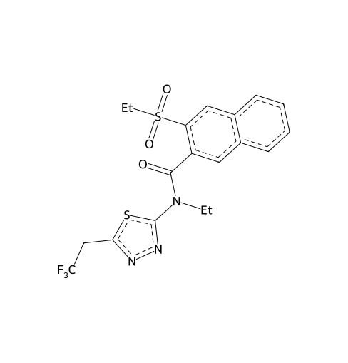 CCN(C(=O)c1cc2ccccc2cc1S(=O)(=O)CC)c1nnc(CC(F)(F)F)s1